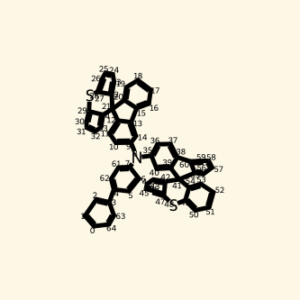 c1ccc(-c2ccc(N(c3ccc4c(c3)-c3ccccc3C43c4ccccc4Sc4ccccc43)c3ccc4c(c3)C3(c5ccccc5Sc5ccccc53)c3ccccc3-4)cc2)cc1